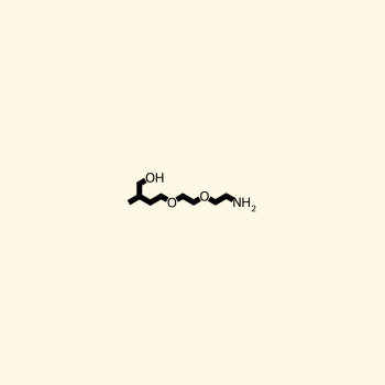 CC(CO)CCOCCOCCN